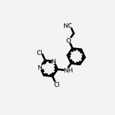 N#CCOc1cccc(Nc2nc(Cl)ncc2Cl)c1